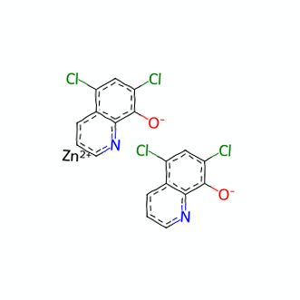 [O-]c1c(Cl)cc(Cl)c2cccnc12.[O-]c1c(Cl)cc(Cl)c2cccnc12.[Zn+2]